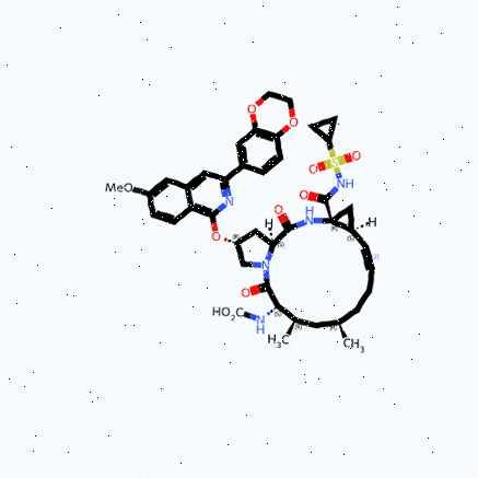 COc1ccc2c(O[C@@H]3C[C@H]4C(=O)N[C@]5(C(=O)NS(=O)(=O)C6CC6)C[C@H]5/C=C\CC[C@@H](C)C[C@@H](C)[C@H](NC(=O)O)C(=O)N4C3)nc(-c3ccc4c(c3)OCCO4)cc2c1